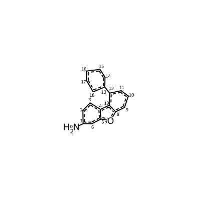 Nc1ccc2c(c1)oc1cccc(-c3ccccc3)c12